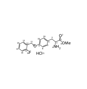 COC(=O)C(N)Cc1ccc(OCc2ccccc2F)cc1.Cl